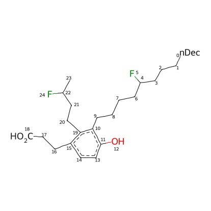 CCCCCCCCCCCCCC(F)CCCCc1c(O)ccc(CCC(=O)O)c1CCC(C)F